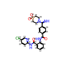 N=C(c1ccc(C(=O)Nc2ccccc2C(=O)Nc2ccc(Cl)cn2)cc1)N1CCS(=O)(=O)CC1